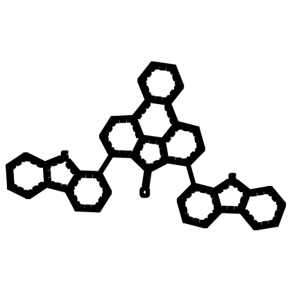 O=c1c2c(-c3cccc4c3sc3ccccc34)ccc3c4ccccc4c4ccc(-c5cccc6c5sc5ccccc56)c1c4c23